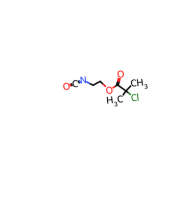 CC(C)(Cl)C(=O)OCCN=C=O